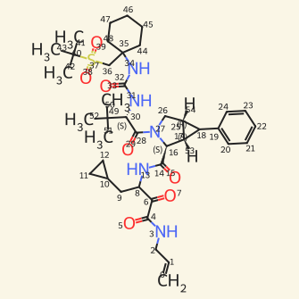 C=CCNC(=O)C(=O)C(CC1CC1)NC(=O)[C@@H]1[C@H]2C(c3ccccc3)[C@H]2CN1C(=O)[C@@H](NC(=O)NC1(CS(=O)(=O)C(C)(C)C)CCCCC1)C(C)(C)C